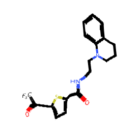 O=C(NCCN1CCCc2ccccc21)c1ccc(C(=O)C(F)(F)F)s1